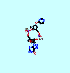 O=c1[nH]cnc2c1nnn2[C@@H]1O[C@H]2COP(=O)(S)O[C@H]3C[C@H](Oc4ccncn4)CC3COP(=O)(S)O[C@@H]1[C@@H]2O